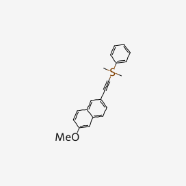 COc1ccc2cc(C#CS(C)(C)c3ccccc3)ccc2c1